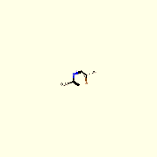 C=C(/N=C\[C@@H](Br)CC)[N+](=O)[O-]